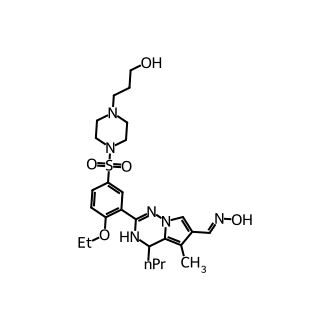 CCCC1NC(c2cc(S(=O)(=O)N3CCN(CCCO)CC3)ccc2OCC)=Nn2cc(/C=N/O)c(C)c21